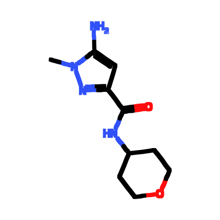 Cn1nc(C(=O)NC2CCOCC2)cc1N